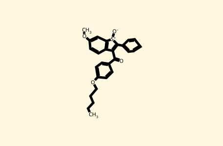 CCCCCOc1ccc(C(=O)c2c(-c3ccccc3)[s+]([O-])c3cc(OC)ccc23)cc1